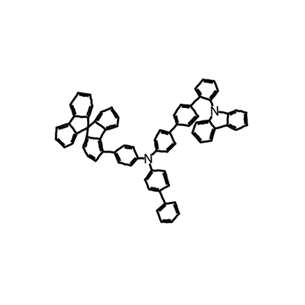 c1ccc(-c2ccc(N(c3ccc(-c4ccc(-c5ccccc5-n5c6ccccc6c6ccccc65)cc4)cc3)c3ccc(-c4cccc5c4-c4ccccc4C54c5ccccc5-c5ccccc54)cc3)cc2)cc1